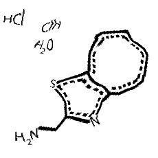 Cl.Cl.Nc1nc2ccccc2s1.O